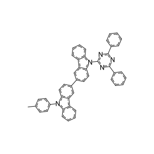 Cc1ccc(-n2c3ccccc3c3cc(-c4ccc5c(c4)c4ccccc4n5-c4nc(-c5ccccc5)nc(-c5ccccc5)n4)ccc32)cc1